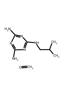 C=O.CC(C)CNc1nc(N)nc(N)n1